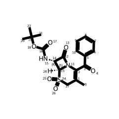 CC1=C(C(=O)c2ccccc2)N2C(=O)[C@@H](NC(=O)OC(C)(C)C)[C@@H]2S(=O)(=O)C1